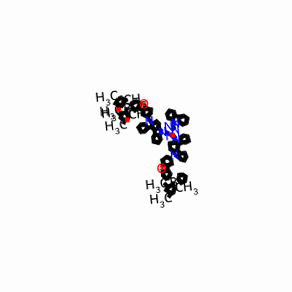 Cc1cc(C)c(B(c2ccccc2)c2ccc3oc4ccc(-n5c6ccccc6c6c7c8ccccc8n(-c8nc(-n9c%10ccccc%10c%10ccccc%109)nc(-n9c%10ccccc%10c%10c%11c%12ccccc%12n(-c%12ccc%13oc%14ccc(B(c%15c(C)cc(C)cc%15C)c%15c(C)cc(C)cc%15C)cc%14c%13c%12)c%11ccc%109)n8)c7ccc65)cc4c3c2)c(C)c1